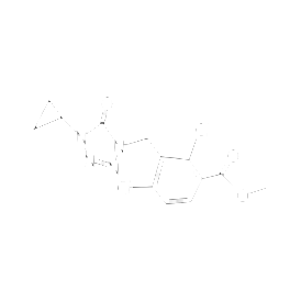 COC(=O)c1ccc(Cl)c(Cn2nnn(C3CC3)c2=O)c1Cl